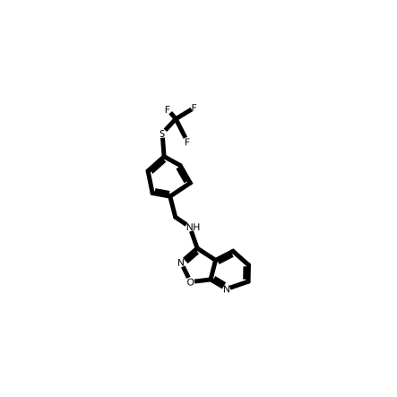 FC(F)(F)Sc1ccc(CNc2noc3ncccc23)cc1